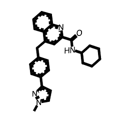 Cn1ccc(-c2ccc(Cc3cc(C(=O)NC4CCCCC4)nc4ccccc34)cc2)n1